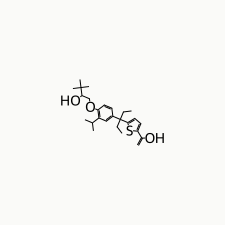 C=C(O)c1ccc(C(CC)(CC)c2ccc(OCC(O)C(C)(C)C)c(C(C)C)c2)s1